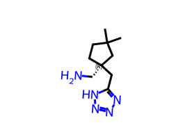 CC1(C)CC[C@](CN)(Cc2nnn[nH]2)C1